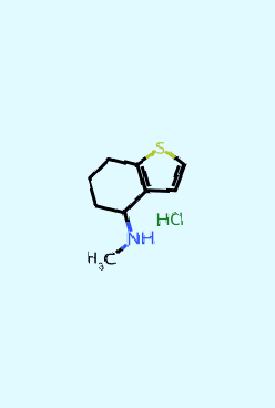 CNC1CCCc2sccc21.Cl